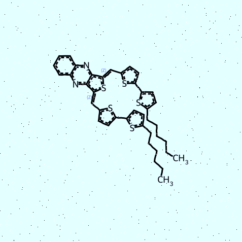 CCCCCCc1ccc(-c2ccc(/C=c3\s/c(=C\c4ccc(-c5ccc(CCCCCC)s5)s4)c4nc5ccccc5nc34)s2)s1